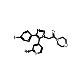 [2H]c1cc(-c2c(-c3ccc(F)cc3)ncn2CC(=O)N2CCOCC2)ccn1